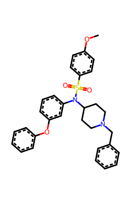 COc1ccc(S(=O)(=O)N(c2cccc(Oc3ccccc3)c2)C2CCN(Cc3ccccc3)CC2)cc1